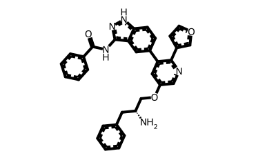 N[C@@H](COc1cnc(-c2ccoc2)c(-c2ccc3[nH]nc(NC(=O)c4ccccc4)c3c2)c1)Cc1ccccc1